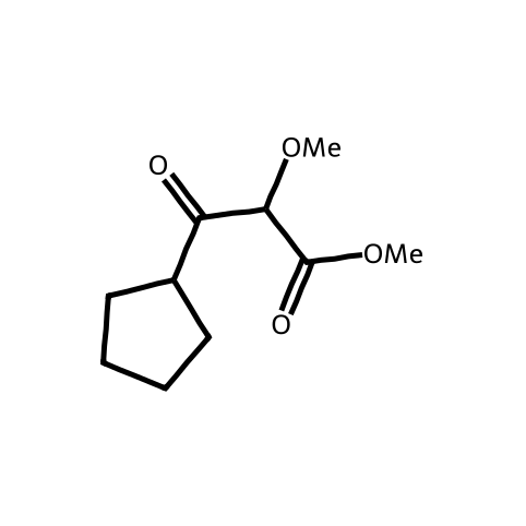 COC(=O)C(OC)C(=O)C1CCCC1